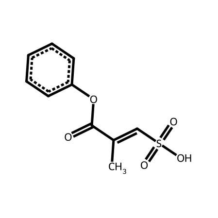 CC(=CS(=O)(=O)O)C(=O)Oc1ccccc1